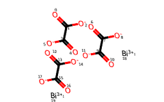 O=C([O-])C(=O)[O-].O=C([O-])C(=O)[O-].O=C([O-])C(=O)[O-].[Bi+3].[Bi+3]